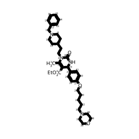 CCOC(=O)C1=C(C)N(CCC2CCN(Cc3ccccc3)CC2)C(=O)NC1c1ccc(OCCCCCN2CCOCC2)cc1